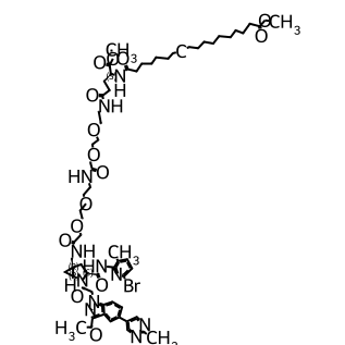 COC(=O)CCCCCCCCCCCCCCCCC(=O)N[C@@H](CCC(=O)NCCOCCOCC(=O)NCCOCCOCC(=O)NC[C@@]12C[C@@H](C(=O)Nc3nc(Br)ccc3C)N(C(=O)Cn3nc(C(C)=O)c4cc(-c5cnc(C)nc5)ccc43)[C@@H]1C2)C(=O)OC